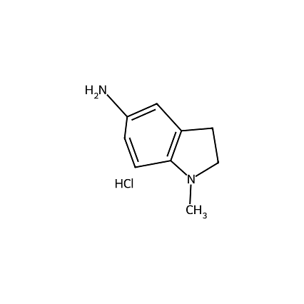 CN1CCc2cc(N)ccc21.Cl